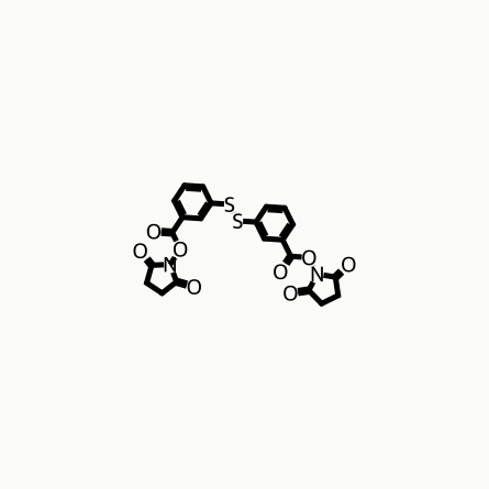 O=C(ON1C(=O)CCC1=O)c1cccc(SSc2cccc(C(=O)ON3C(=O)CCC3=O)c2)c1